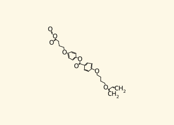 C=CC(=C)OCCCCOc1ccc(C(=O)Oc2ccc(OCCCC(=O)OC=O)cc2)cc1